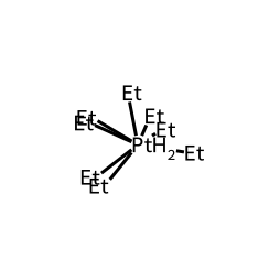 C[CH2][PtH2]([CH2]C)([CH2]C)([CH2]C)([CH2]C)([CH2]C)([CH2]C)[CH2]C